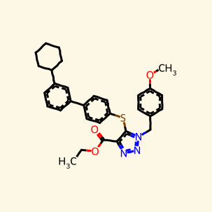 CCOC(=O)c1nnn(Cc2ccc(OC)cc2)c1Sc1ccc(-c2cccc(C3CCCCC3)c2)cc1